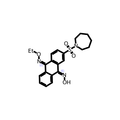 CCO/N=C1/c2ccccc2/C(=N\O)c2cc(S(=O)(=O)N3CCCCCC3)ccc21